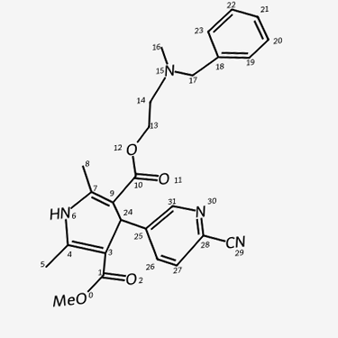 COC(=O)C1=C(C)NC(C)=C(C(=O)OCCN(C)Cc2ccccc2)C1c1ccc(C#N)nc1